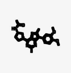 COc1ccc(-c2c(C)sc3c(N4CC[C@@H](NC(C)=O)C4)nc(C)nc23)cc1OC